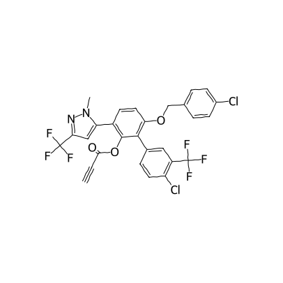 C#CC(=O)Oc1c(-c2cc(C(F)(F)F)nn2C)ccc(OCc2ccc(Cl)cc2)c1-c1ccc(Cl)c(C(F)(F)F)c1